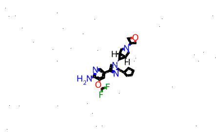 Nc1ncc(-c2cn([C@@H]3[C@@H]4CN(C5COC5)C[C@@H]43)c(C3CCCC3)n2)cc1OC(F)F